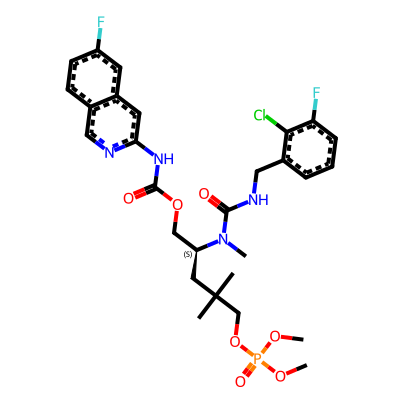 COP(=O)(OC)OCC(C)(C)C[C@@H](COC(=O)Nc1cc2cc(F)ccc2cn1)N(C)C(=O)NCc1cccc(F)c1Cl